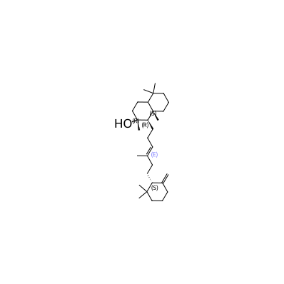 C=C1CCCC(C)(C)[C@@H]1CC/C(C)=C/CC[C@@H]1[C@@]2(C)CCCC(C)(C)C2CC[C@@]1(C)O